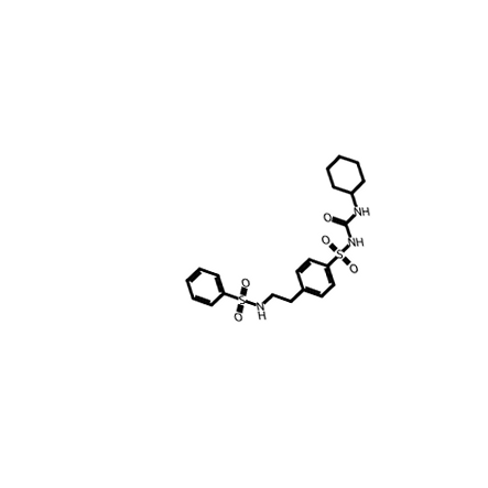 O=C(NC1CCCCC1)NS(=O)(=O)c1ccc(CCNS(=O)(=O)c2ccccc2)cc1